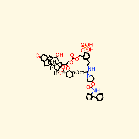 CCCCCCCCC(NCCc1ccc(OP(=O)(O)O)c(COC(=O)OCC(=O)C2=C[C@]34C[C@H](O)C5=C[C@]67C=CC(=O)C=C6CC[C@H]([C@H]57)[C@@H]3C[C@H]3O[C@@H](C5CCCCC5)O[C@]234)c1)N1CCC(OC(=O)Nc2ccccc2-c2ccccc2)CC1